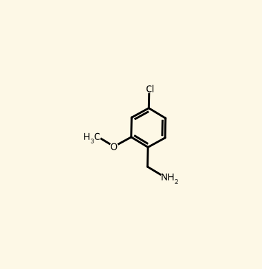 COc1cc(Cl)ccc1CN